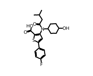 CC(C)CC(=O)N(c1cc(-c2ccc(F)cc2)sc1C(=O)O)C1CCC(O)CC1